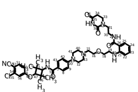 CC1(C)C(NC(=O)c2ccc(N3CCN(CCOCCNc4ccccc4C(=O)NCCN4CCC(=O)NC4=O)CC3)cc2)C(C)(C)C1Oc1ccc(C#N)c(Cl)c1